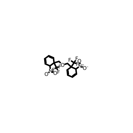 O=[N+]([O-])C1C=CC=CC1(COCC1(C(F)(F)F)C=CC=CC1[N+](=O)[O-])C(F)(F)F